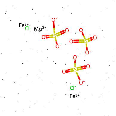 O=S(=O)([O-])[O-].O=S(=O)([O-])[O-].O=S(=O)([O-])[O-].[Cl-].[Cl-].[Fe+3].[Fe+3].[Mg+2]